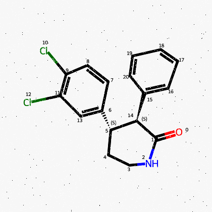 O=C1NCC[C@H](c2ccc(Cl)c(Cl)c2)[C@H]1c1ccccc1